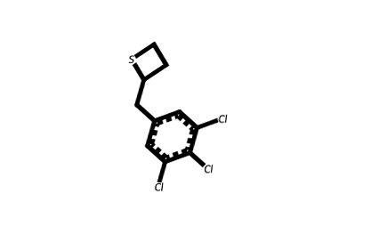 Clc1cc(CC2CCS2)cc(Cl)c1Cl